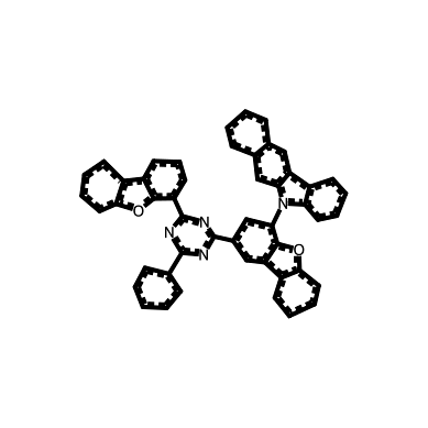 c1ccc(-c2nc(-c3cc(-n4c5ccccc5c5cc6ccccc6cc54)c4oc5ccccc5c4c3)nc(-c3cccc4c3oc3ccccc34)n2)cc1